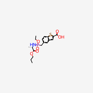 CCCOC(=O)[C@H](C)NP(=O)(Cc1ccc2sc(C(=O)O)cc2c1)OCC